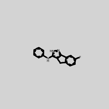 Fc1ccc2c(c1)-c1n[nH]c(Nc3ccccc3)c1C2